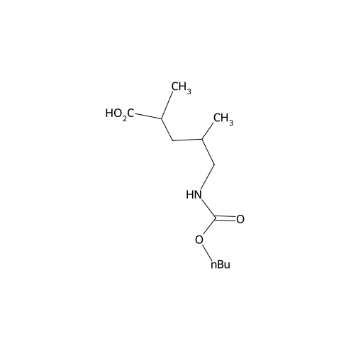 CCCCOC(=O)NCC(C)CC(C)C(=O)O